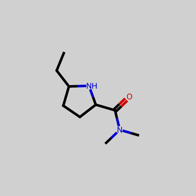 CCC1CCC(C(=O)N(C)C)N1